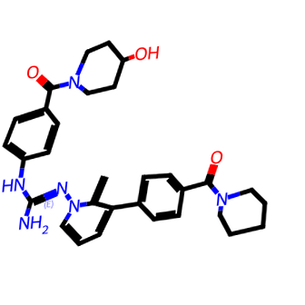 C=C1C(c2ccc(C(=O)N3CCCCC3)cc2)=CC=CN1/N=C(\N)Nc1ccc(C(=O)N2CCC(O)CC2)cc1